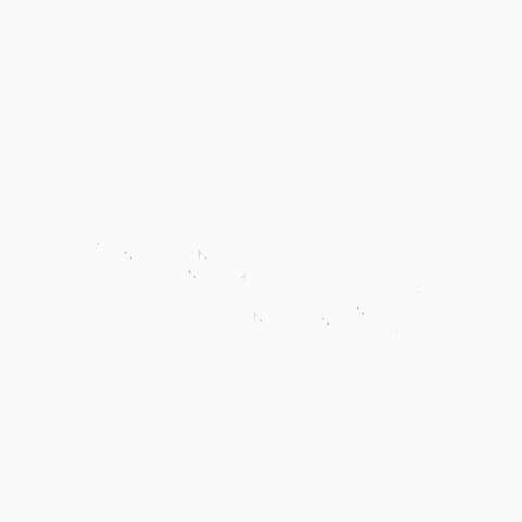 CCC(=O)Cn1c(=O)n(C2CCN(CC(O)Cn3nc(-c4ccc(Cl)c(C)c4)c4c3CCN(C(C)=O)C4)CC2)c2ccccc21